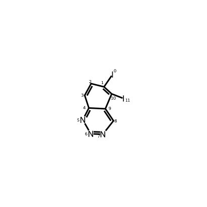 Ic1ccc2nnncc2c1I